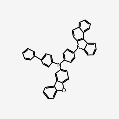 c1ccc(-c2ccc(N(c3ccc(-n4c5ccccc5c5c6ccccc6ccc54)cc3)c3ccc4oc5ccccc5c4c3)cc2)cc1